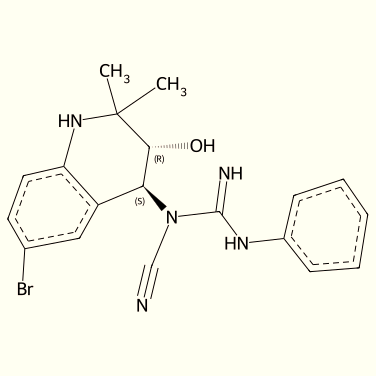 CC1(C)Nc2ccc(Br)cc2[C@H](N(C#N)C(=N)Nc2ccccc2)[C@H]1O